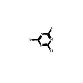 Fc1nc(Cl)nc(Br)n1